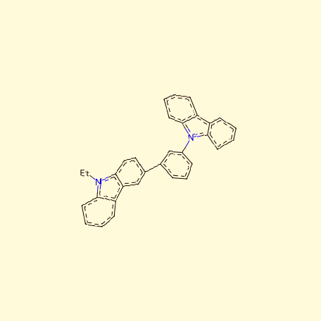 CCn1c2ccccc2c2cc(-c3cccc(-n4c5ccccc5c5ccccc54)c3)ccc21